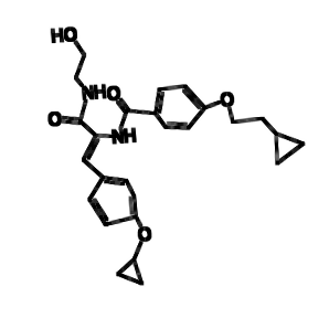 O=C(NCCO)C(=Cc1ccc(OC2CC2)cc1)NC(=O)c1ccc(OCCC2CC2)cc1